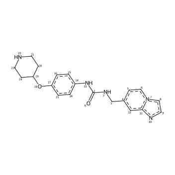 O=C(NCc1ccn2ccnc2c1)Nc1ccc(OC2CCNCC2)cc1